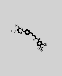 CC1(C)COB(c2ccc(CCCC(=O)Nc3ccc(S(=O)(=O)I)c(C#N)c3)cc2)OC1